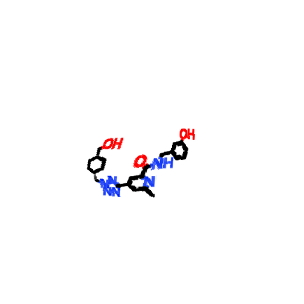 Cc1cc(-c2nnn(C[C@H]3CC[C@H](CO)CC3)n2)cc(C(=O)NCc2cccc(O)c2)n1